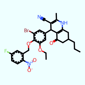 CCCC1CC(=O)C2=C(C1)NC(C)=C(C#N)C2c1cc(Br)c(OCc2cc(F)ccc2[N+](=O)[O-])c(OCC)c1